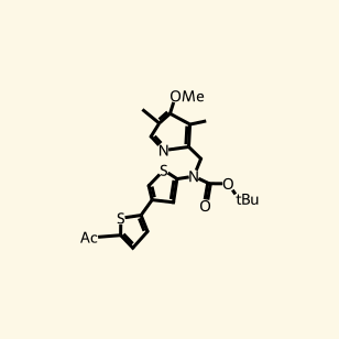 COc1c(C)cnc(CN(C(=O)OC(C)(C)C)c2cc(-c3ccc(C(C)=O)s3)cs2)c1C